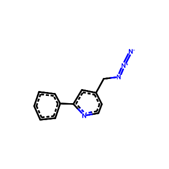 [N-]=[N+]=NCc1ccnc(-c2ccccc2)c1